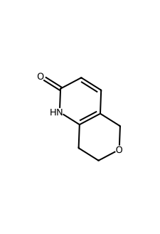 O=c1ccc2c([nH]1)CCOC2